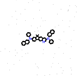 CC1(C)c2cc(N(c3ccccc3)c3ccc4ccccc4c3)ccc2-c2cc3ncc(N(c4ccccc4)c4ccc5ccccc5c4)cc3cc21